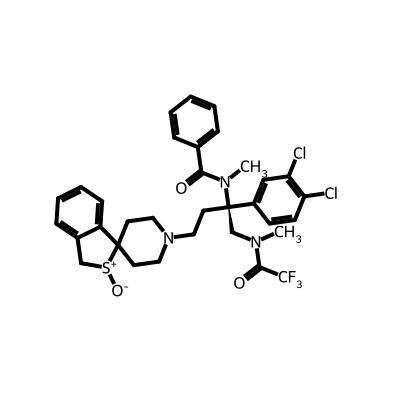 CN(C[C@](CCN1CCC2(CC1)c1ccccc1C[S+]2[O-])(c1ccc(Cl)c(Cl)c1)N(C)C(=O)c1ccccc1)C(=O)C(F)(F)F